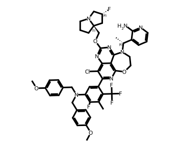 COc1ccc(CN(Cc2ccc(OC)cc2)c2cc(-c3nc4c5c(nc(OC[C@@]67CCCN6C[C@H](F)C7)nc5c3Cl)N([C@H](C)c3cccnc3N)CCO4)c(C(F)(F)F)c(C)c2F)cc1